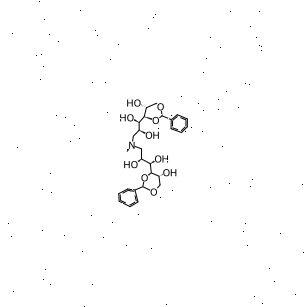 CN(C[C@H](O)[C@@H](O)[C@@H]1OC(c2ccccc2)OC[C@H]1O)C[C@H](O)[C@@H](O)[C@@H]1OC(c2ccccc2)OC[C@H]1O